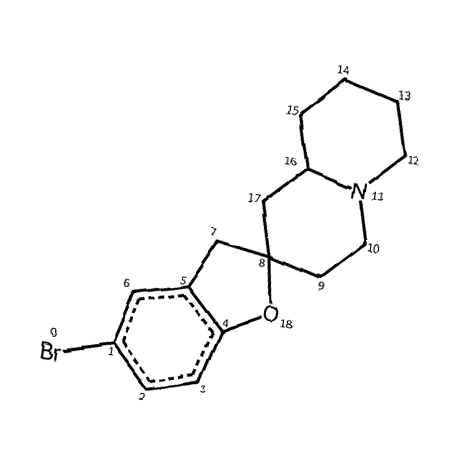 Brc1ccc2c(c1)CC1(CCN3CCCCC3C1)O2